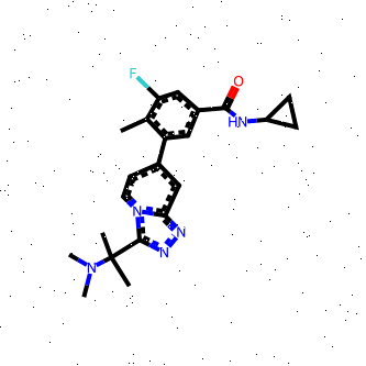 Cc1c(F)cc(C(=O)NC2CC2)cc1-c1ccn2c(C(C)(C)N(C)C)nnc2c1